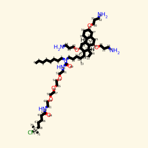 CCCCCCCCN(CCC[C@@H](C)[C@H]1CC[C@H]2C3[C@H](OCCCN)CC4C[C@H](OCCCN)CC[C@]4(C)[C@H]3C[C@H](OCCCN)[C@]12C)C(=O)NCCOCCOCCOCCNC(=O)CCCC[Si](C)(C)Cl